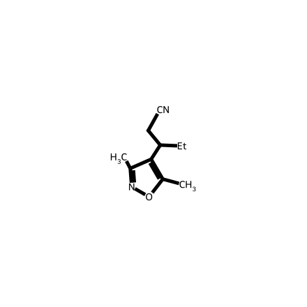 CCC(CC#N)c1c(C)noc1C